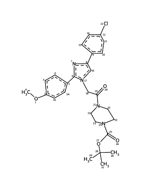 COc1ccc(-c2nc(-c3ccc(Cl)cc3)cn2CC(=O)N2CCN(C(=O)OC(C)(C)C)CC2)cc1